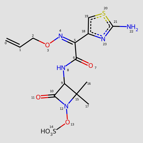 C=CCO/N=C(\C(=O)NC1C(=O)N(OS(=O)(=O)O)C1(C)C)c1csc(N)n1